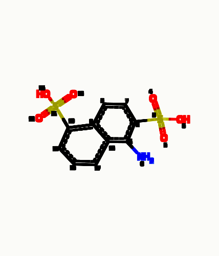 Nc1c(S(=O)(=O)O)ccc2c(S(=O)(=O)O)cccc12